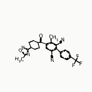 Cc1nc(C2CCC(C(=O)c3cc(C#N)c(-c4ccc(C(F)(F)F)cc4)c(C#N)c3C)CC2)no1